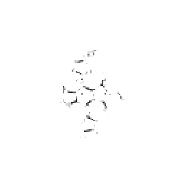 B=CN1C(=O)c2c(c(-c3ccc(Br)s3)c3nsnc3c2-c2ccc(Br)s2)C1=O